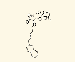 CC1(C)OC[C@@H]([C@@H](OCCCCCc2ccc3ccccc3c2)C(=O)O)O1